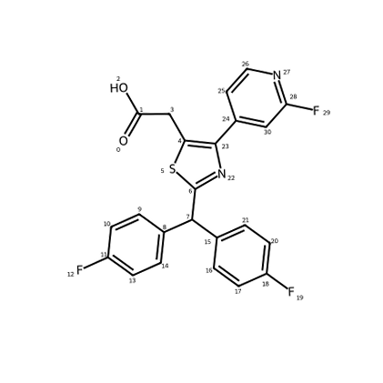 O=C(O)Cc1sc(C(c2ccc(F)cc2)c2ccc(F)cc2)nc1-c1ccnc(F)c1